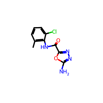 Cc1cccc(Cl)c1NC(=O)c1nnc(N)o1